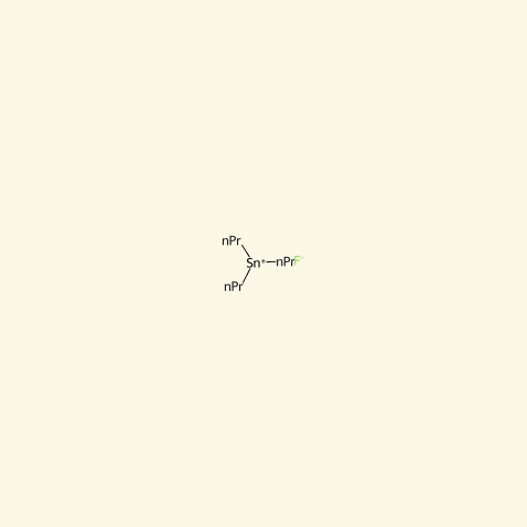 CC[CH2][Sn+]([CH2]CC)[CH2]CC.[F-]